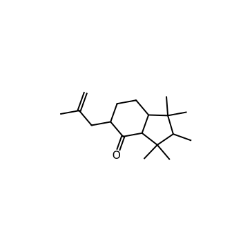 C=C(C)CC1CCC2C(C1=O)C(C)(C)C(C)C2(C)C